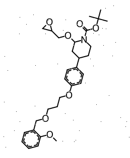 COc1ccccc1COCCCOc1ccc(C2CCN(C(=O)OC(C)(C)C)C(OCC3CO3)C2)cc1